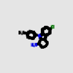 Cc1ccc(-n2c3c(c4cc(Cl)ccc42)CCCC3N)cc1